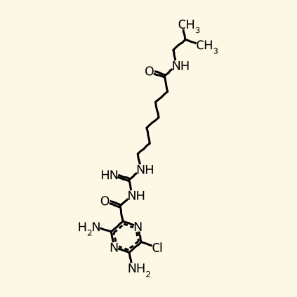 CC(C)CNC(=O)CCCCCCNC(=N)NC(=O)c1nc(Cl)c(N)nc1N